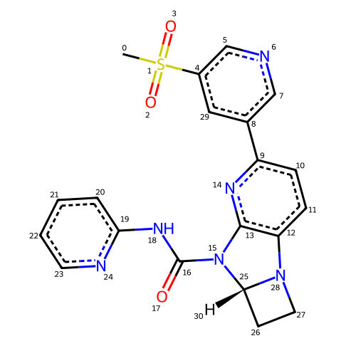 CS(=O)(=O)c1cncc(-c2ccc3c(n2)N(C(=O)Nc2ccccn2)[C@H]2CCN32)c1